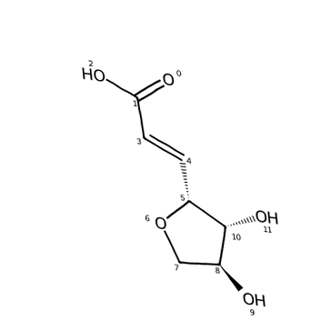 O=C(O)/C=C/[C@H]1OC[C@H](O)[C@H]1O